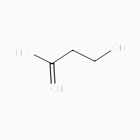 [CH2]C(=C)CCO